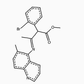 COC(=O)C(C(C)=Nc1c(C)ccc2ncccc12)c1ccccc1Br